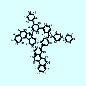 c1ccc(-c2ccc(N(c3ccc(-c4ccc5ccc6c7ccccc7ccc6c5c4)cc3)c3cccc(-c4cc(-c5ccccc5)cc(-n5c6ccccc6c6c7ccccc7ccc65)c4)c3)cc2)cc1